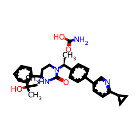 C[C@@H](c1ccc(-c2ccc(C3CC3)nc2)cc1)N1CC[C@](CC(C)(C)O)(c2ccccc2)NC1=O.NC(=O)O